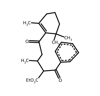 CCOC(=O)C(C(=O)c1ccccc1)C(C)CC(=O)C1=C(C)CCCC1(C)C